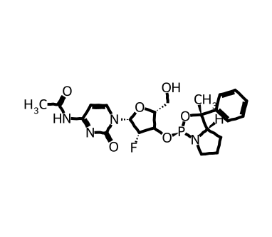 CC(=O)Nc1ccn([C@@H]2O[C@H](CO)C(O[P@@]3O[C@](C)(c4ccccc4)[C@@H]4CCCN43)[C@@H]2F)c(=O)n1